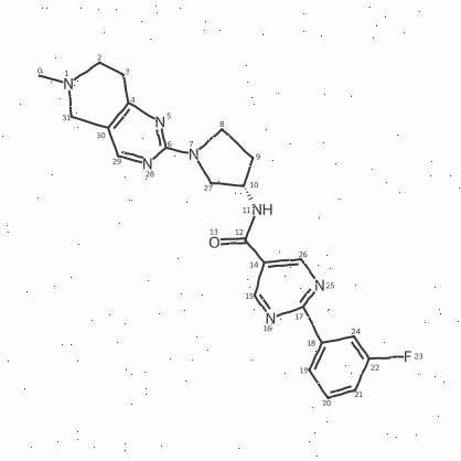 CN1CCc2nc(N3CC[C@H](NC(=O)c4cnc(-c5cccc(F)c5)nc4)C3)ncc2C1